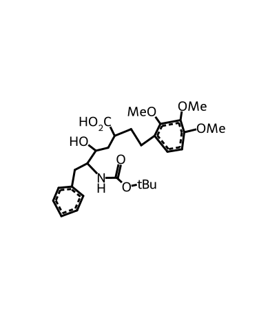 COc1ccc(CCC(CC(O)C(Cc2ccccc2)NC(=O)OC(C)(C)C)C(=O)O)c(OC)c1OC